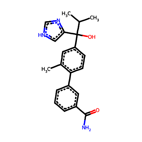 Cc1cc(C(O)(c2c[nH]cn2)C(C)C)ccc1-c1cccc(C(N)=O)c1